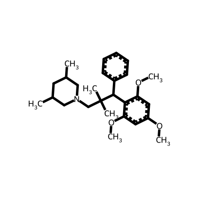 COc1cc(OC)c(C(c2ccccc2)C(C)(C)CN2CC(C)CC(C)C2)c(OC)c1